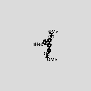 C=C(COC)C(=O)Oc1ccc(-c2ccc(-c3ccc(OC(=O)C(=C)COC)cc3C3OCC(CCCCCC)CO3)cc2)cc1